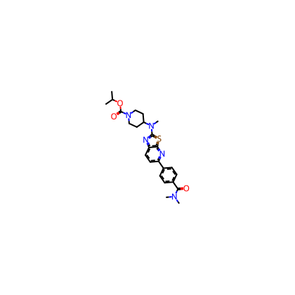 CC(C)OC(=O)N1CCC(N(C)c2nc3ccc(-c4ccc(C(=O)N(C)C)cc4)nc3s2)CC1